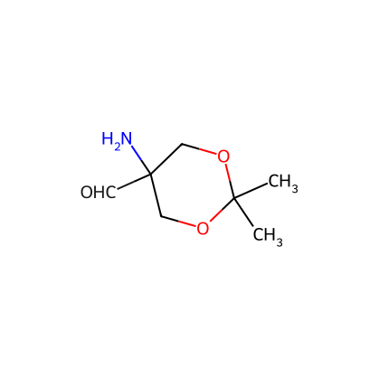 CC1(C)OCC(N)(C=O)CO1